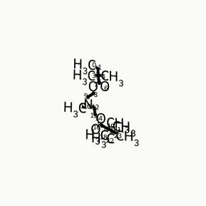 CCC(C)(C)C(=O)OCCN(C)CCOC(=O)C(C)(C)C(C)(C)C